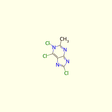 Cc1nc2nc(Cl)nc-2c(Cl)n1Cl